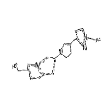 CC(=O)n1ccc(C2=CC=C(c3cn4cc(CO)ccc4n3)CC2)n1